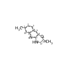 Cc1ccc2cc3c(nc2c1)NCC(C)O3